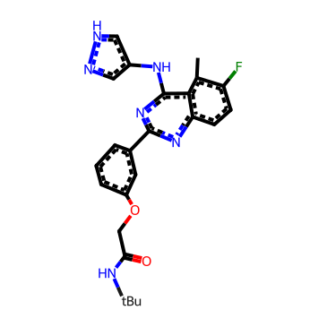 Cc1c(F)ccc2nc(-c3cccc(OCC(=O)NC(C)(C)C)c3)nc(Nc3cn[nH]c3)c12